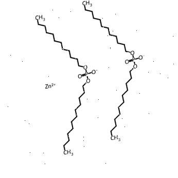 CCCCCCCCCCCCOP(=O)([O-])OCCCCCCCCCCCC.CCCCCCCCCCCCOP(=O)([O-])OCCCCCCCCCCCC.[Zn+2]